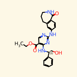 CCOC(=O)c1cnc(Nc2ccc3c(c2)CCCNC3=O)nc1N[C@H](CO)c1ccccc1